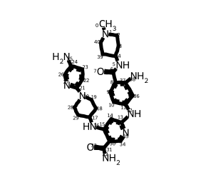 CN1CCC(NC(=O)c2ccc(Nc3cc(NC4CCN(c5ccc(N)cn5)CC4)c(C(N)=O)cn3)cc2N)CC1